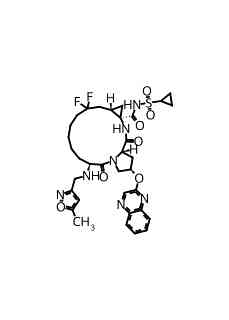 Cc1cc(CN[C@H]2CCCCCC(F)(F)C[C@@H]3C[C@@]3(C(=O)NS(=O)(=O)C3CC3)NC(=O)[C@@H]3C[C@@H](Oc4cnc5ccccc5n4)CN3C2=O)no1